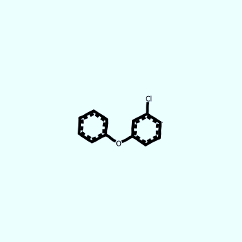 Clc1[c]ccc(Oc2ccccc2)c1